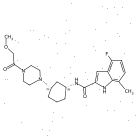 COCC(=O)N1CCN([C@H]2CCC[C@@H](NC(=O)c3cc4c(F)ccc(C)c4[nH]3)C2)CC1